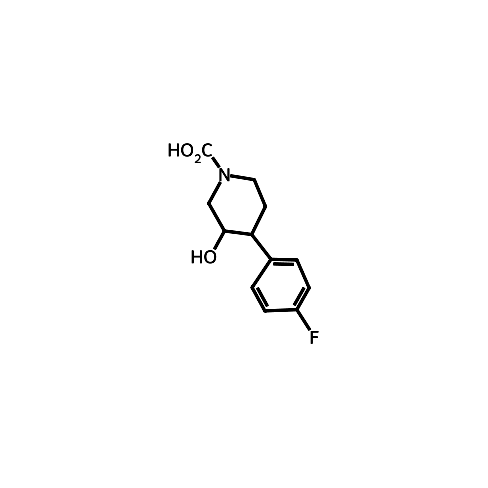 O=C(O)N1CCC(c2ccc(F)cc2)C(O)C1